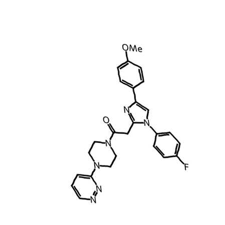 COc1ccc(-c2cn(-c3ccc(F)cc3)c(CC(=O)N3CCN(c4cccnn4)CC3)n2)cc1